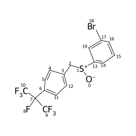 [O-][S+](Cc1ccc(C(F)(C(F)(F)F)C(F)(F)F)cc1)c1cccc(Br)c1